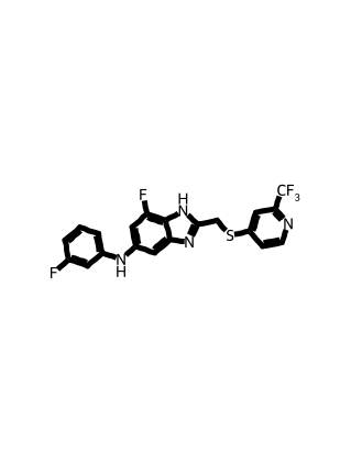 Fc1cccc(Nc2cc(F)c3[nH]c(CSc4ccnc(C(F)(F)F)c4)nc3c2)c1